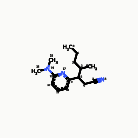 CCCC(C)C(CC#N)c1cccc(N(C)C)n1